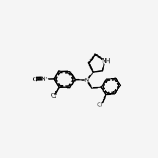 [C-]#[N+]c1ccc(N(Cc2ccccc2Cl)[C@H]2CCNC2)cc1Cl